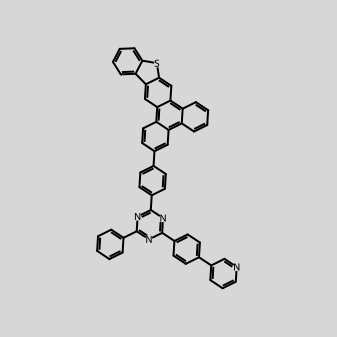 c1ccc(-c2nc(-c3ccc(-c4cccnc4)cc3)nc(-c3ccc(-c4ccc5c(c4)c4ccccc4c4cc6sc7ccccc7c6cc54)cc3)n2)cc1